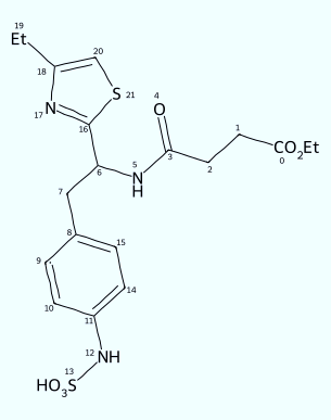 CCOC(=O)CCC(=O)NC(Cc1[c]cc(NS(=O)(=O)O)cc1)c1nc(CC)cs1